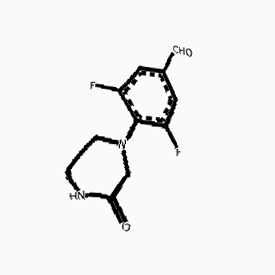 O=Cc1cc(F)c(N2CCNC(=O)C2)c(F)c1